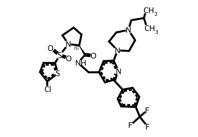 CC(C)CN1CCN(c2cc(CNC(=O)[C@@H]3CCCN3S(=O)(=O)c3ccc(Cl)s3)cc(-c3ccc(C(F)(F)F)cc3)n2)CC1